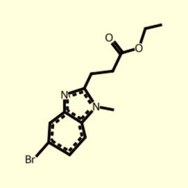 CCOC(=O)CCc1nc2cc(Br)ccc2n1C